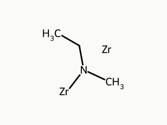 CC[N](C)[Zr].[Zr]